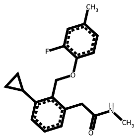 CNC(=O)Cc1cccc(C2CC2)c1COc1ccc(C)cc1F